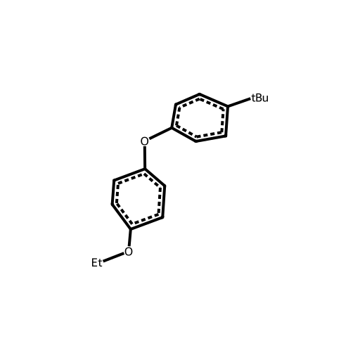 [CH2]COc1ccc(Oc2ccc(C(C)(C)C)cc2)cc1